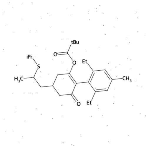 CCc1cc(C)cc(CC)c1C1=C(OC(=O)C(C)(C)C)CC(CC(C)SC(C)C)CC1=O